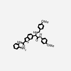 COc1ccc(CNC(C(=O)Nc2ccc(OC)cc2)c2ccc3cc(C(=O)Nc4ccccc4N)sc3c2)cc1